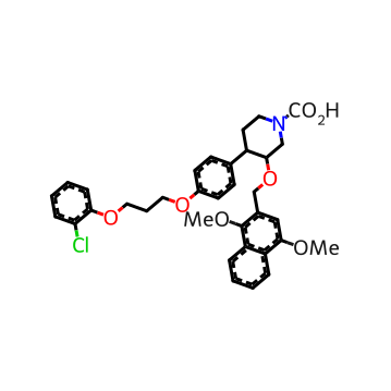 COc1cc(COC2CN(C(=O)O)CCC2c2ccc(OCCCOc3ccccc3Cl)cc2)c(OC)c2ccccc12